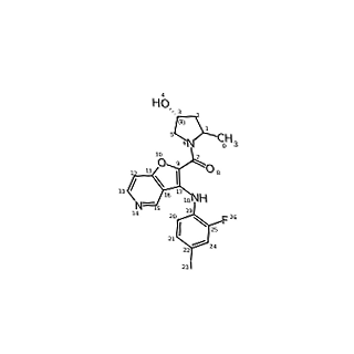 CC1C[C@@H](O)CN1C(=O)c1oc2ccncc2c1Nc1ccc(I)cc1F